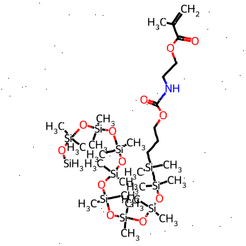 C=C(C)C(=O)OCCNC(=O)OCCC[Si](C)(C)[Si](C)(C)O[Si](C)(C)O[Si](C)(C)O[Si](C)(C)O[Si](C)(C)O[Si](C)(C)O[Si](C)(C)O[Si](C)(C)O[SiH3]